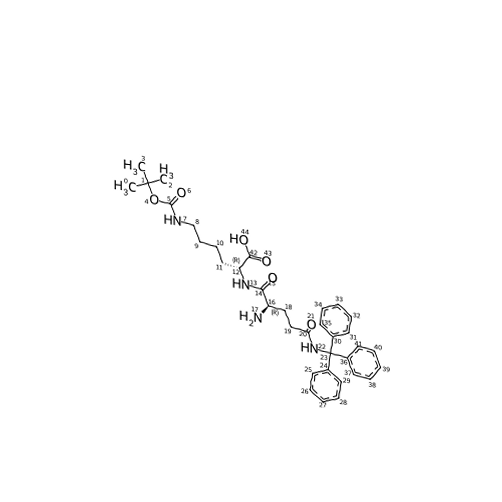 CC(C)(C)OC(=O)NCCCC[C@@H](NC(=O)[C@H](N)CCC(=O)NC(c1ccccc1)(c1ccccc1)c1ccccc1)C(=O)O